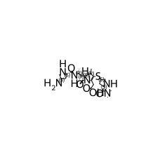 C[C@@H](NC(=O)[C@@H]1C[C@H](N)CN1)[C@H]1C(=O)N2C(CC(=O)O)=C(S[C@@H]3CN[C@H](C(=O)N(C)C)C3)[C@H](C)[C@H]12